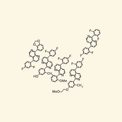 COCCOc1ccc(-c2nccc3c(-c4ccc(F)cc4F)ccnc23)c(C)c1.COc1ccccc1-c1nccc2c(-c3ccc(F)cc3F)ccnc12.Cc1cc(O)ccc1-c1nccc2c(-c3ccc(F)cc3F)ccnc12.Fc1ccc(-c2ccnc3c(-c4c(F)cccc4F)nccc23)c(F)c1.Fc1ccc(-c2ccnc3c(-c4cccc5c4OCO5)nccc23)c(F)c1